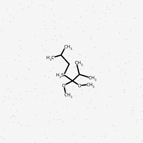 COC(OC)([SiH2]CC(C)C)C(C)C